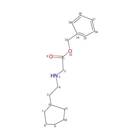 O=C(CNCCC1CCCCC1)OCc1ccccc1